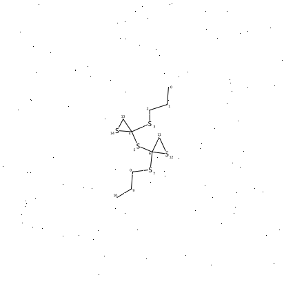 CCCSC1(SC2(SCCC)CS2)CS1